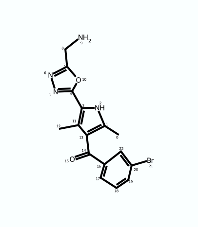 Cc1[nH]c(-c2nnc(CN)o2)c(C)c1C(=O)c1cccc(Br)c1